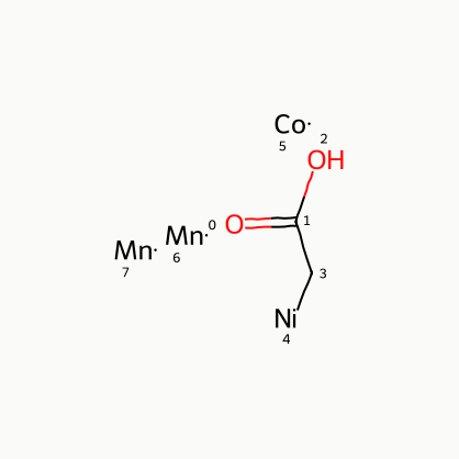 O=C(O)[CH2][Ni].[Co].[Mn].[Mn]